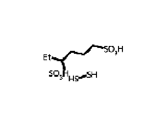 CCC(CCCS(=O)(=O)O)S(=O)(=O)O.SS